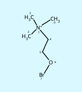 C[N+](C)(C)CCOBr